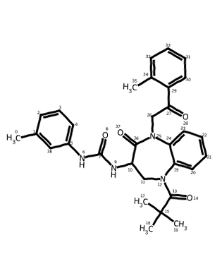 Cc1cccc(NC(=O)NC2CN(C(=O)C(C)(C)C)c3ccccc3N(CC(=O)c3ccccc3C)C2=O)c1